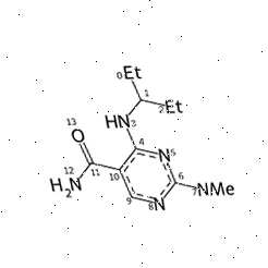 CCC(CC)Nc1nc(NC)ncc1C(N)=O